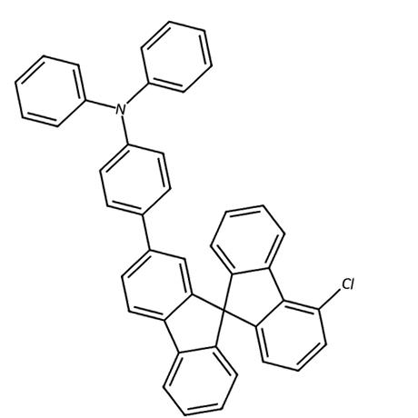 Clc1cccc2c1-c1ccccc1C21c2ccccc2-c2ccc(-c3ccc(N(c4ccccc4)c4ccccc4)cc3)cc21